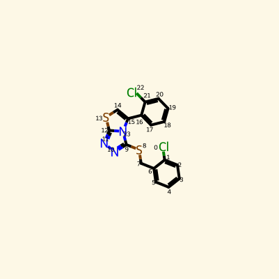 Clc1ccccc1CSc1nnc2scc(-c3ccccc3Cl)n12